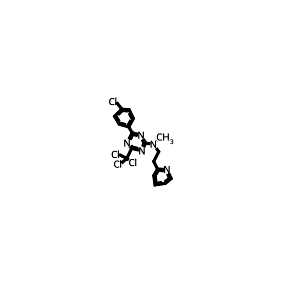 CN(CCc1ccccn1)c1nc(-c2ccc(Cl)cc2)nc(C(Cl)(Cl)Cl)n1